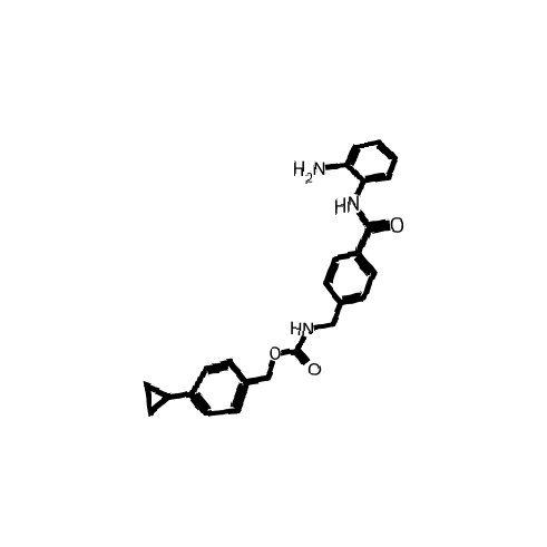 Nc1ccccc1NC(=O)c1ccc(CNC(=O)OCc2ccc(C3CC3)cc2)cc1